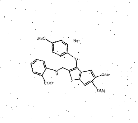 COc1ccc(Oc2c(CNc3ccccc3C(=O)[O-])sc3cc(OC)c(OC)cc23)cc1.[Na+]